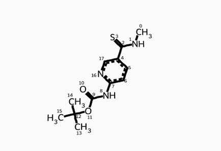 CNC(=S)c1ccc(NC(=O)OC(C)(C)C)nc1